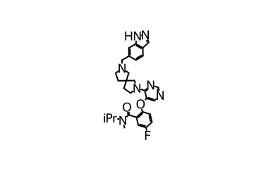 CC(C)N(C)C(=O)c1cc(F)ccc1Oc1cncnc1N1CCC2(CCN(Cc3ccc4cn[nH]c4c3)C2)C1